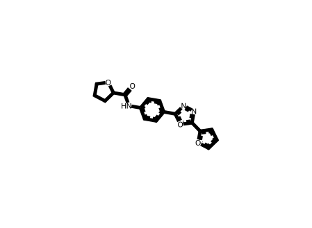 O=C(Nc1ccc(-c2nnc(-c3ccco3)o2)cc1)C1CCCO1